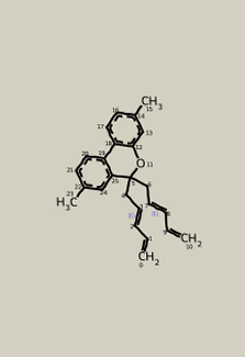 C=C/C=C/CC1(C/C=C/C=C)Oc2cc(C)ccc2-c2ccc(C)cc21